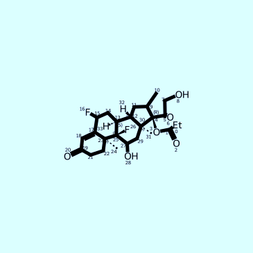 CCC(=O)O[C@]1(C(=O)CO)C(C)C[C@H]2[C@@H]3CC(F)C4=CC(=O)CC[C@]4(C)[C@@]3(F)C(O)C[C@@]21C